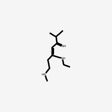 CCN/C(=C\C(=N)C(C)C)CCNC